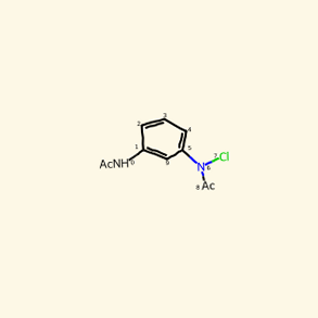 CC(=O)Nc1cccc(N(Cl)C(C)=O)c1